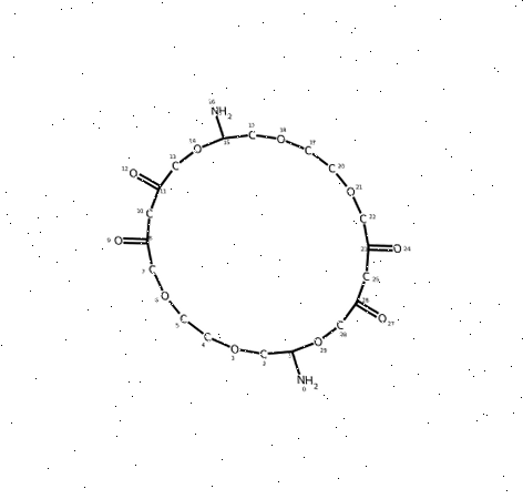 NC1COCCOCC(=O)CC(=O)COC(N)COCCOCC(=O)CC(=O)CO1